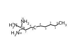 CCCCCCCC[Si](N)(N)N